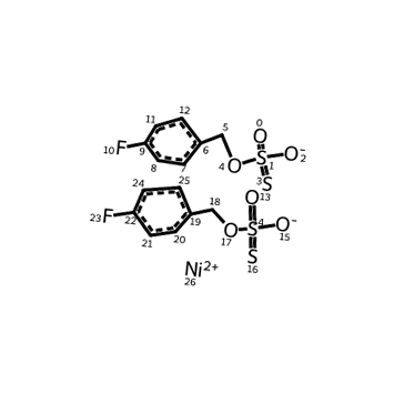 O=S([O-])(=S)OCc1ccc(F)cc1.O=S([O-])(=S)OCc1ccc(F)cc1.[Ni+2]